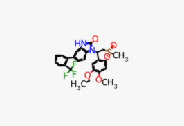 CCOc1cc(C(CS(C)(=O)=O)n2c(=O)[nH]c3cc(-c4ccccc4C(F)(F)F)ccc32)ccc1OC